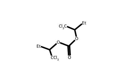 CCC(OC(=O)OC(CC)C(Cl)(Cl)Cl)C(Cl)(Cl)Cl